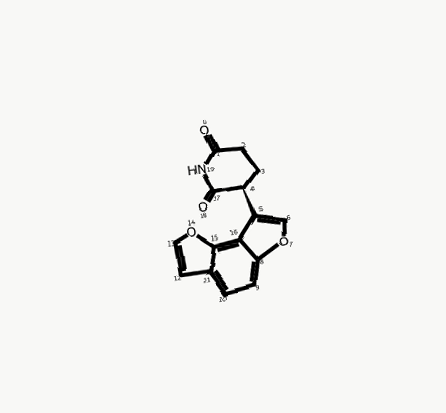 O=C1CC[C@@H](c2coc3ccc4ccoc4c23)C(=O)N1